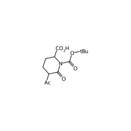 CC(=O)C1CCC(C(=O)O)N(C(=O)OC(C)(C)C)C1=O